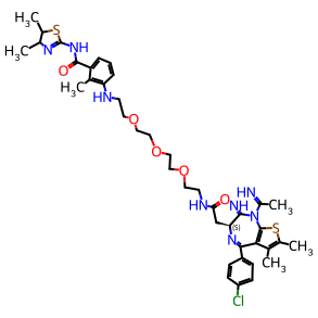 CC(=N)N1C(=N)[C@H](CC(=O)NCCOCCOCCOCCNc2cccc(C(=O)NC3=NC(C)C(C)S3)c2C)N=C(c2ccc(Cl)cc2)c2c1sc(C)c2C